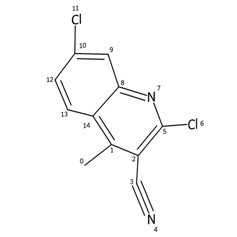 Cc1c(C#N)c(Cl)nc2cc(Cl)ccc12